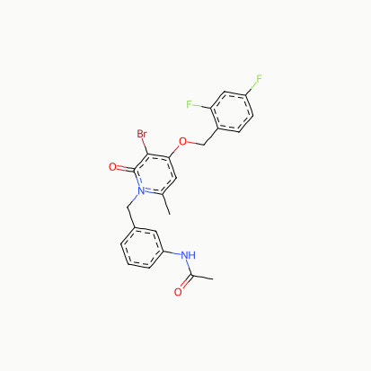 CC(=O)Nc1cccc(Cn2c(C)cc(OCc3ccc(F)cc3F)c(Br)c2=O)c1